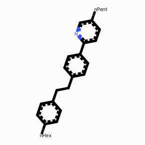 CCCCCCc1ccc(CCc2ccc(-c3ccc(CCCCC)cn3)cc2)cc1